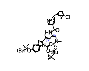 C/C(=C\C(=C/N(C)COCC[Si](C)(C)C)NC(=O)c1cnn(Cc2ccc(Cl)s2)c1)c1cc2cc(O[Si](C)(C)C(C)(C)C)ccc2n1C(=O)OC(C)(C)C